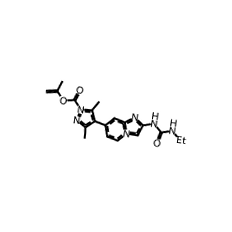 C=C(C)OC(=O)n1nc(C)c(-c2ccn3cc(NC(=O)NCC)nc3c2)c1C